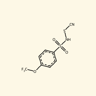 N#CSNS(=O)(=O)c1ccc(OC(F)(F)F)cc1